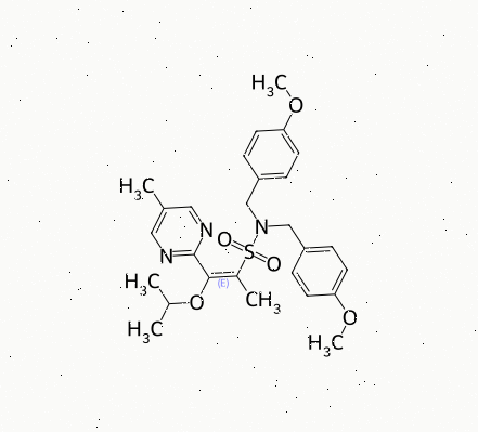 COc1ccc(CN(Cc2ccc(OC)cc2)S(=O)(=O)/C(C)=C(/OC(C)C)c2ncc(C)cn2)cc1